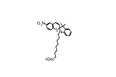 CCCCCCCCCCCCCCCCCCN1c2ccccc2C(C)(C)C12C=Cc1cc([N+](=O)[O-])ccc1S2